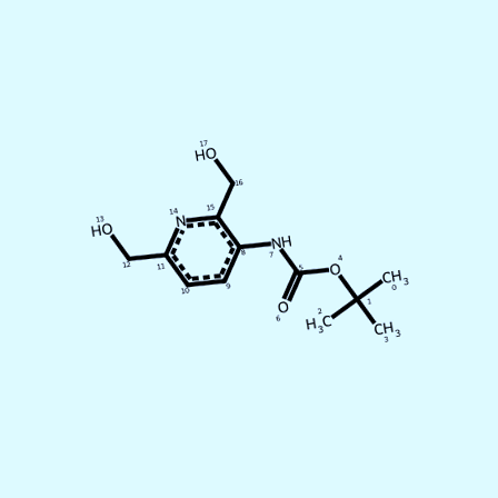 CC(C)(C)OC(=O)Nc1ccc(CO)nc1CO